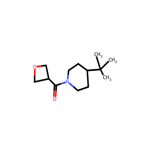 CC(C)(C)C1CCN(C(=O)C2COC2)CC1